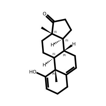 C[C@]12C(O)=CCCC1=CC[C@@H]1[C@@H]2CC[C@]2(C)C(=O)CC[C@@H]12